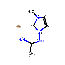 Br.CC(N)NN1C=CN(C)C1